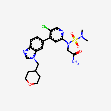 CN(C)S(=O)(=O)N(CC(N)=O)c1cc(-c2ccc3ncn(CC4CCOCC4)c3c2)c(Cl)cn1